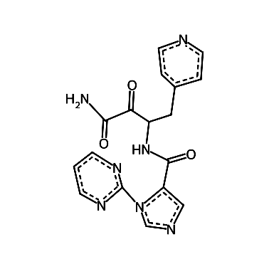 NC(=O)C(=O)C(Cc1ccncc1)NC(=O)c1cncn1-c1ncccn1